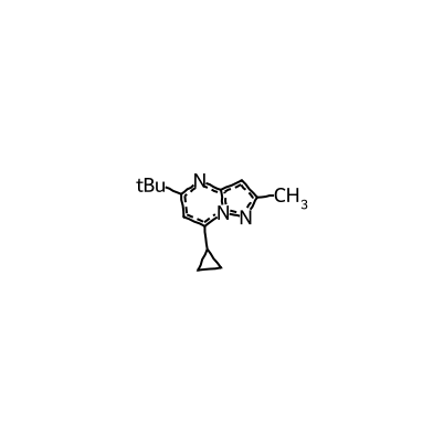 Cc1cc2nc(C(C)(C)C)cc(C3CC3)n2n1